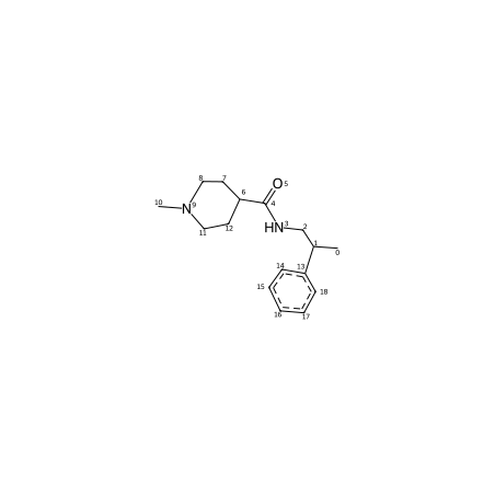 CC(CNC(=O)C1CCN(C)CC1)c1ccccc1